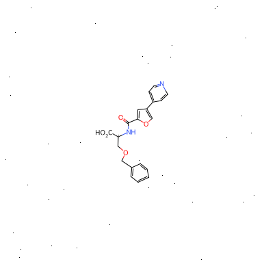 O=C(NC(COCc1ccccc1)C(=O)O)c1cc(-c2ccncc2)co1